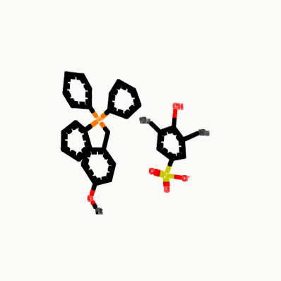 CC(C)(C)c1cc(S(=O)(=O)[O-])cc(C(C)(C)C)c1O.CCOc1ccc(C[P+](c2ccccc2)(c2ccccc2)c2ccccc2)cc1